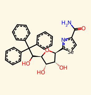 NC(=O)c1c[se]c([C@@H]2O[C@H](C(O)C(c3ccccc3)(c3ccccc3)c3ccccc3)[C@@H](O)[C@H]2O)n1